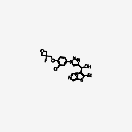 CCc1sc2cncn2c1C(O)c1cn(-c2ccc(OCC3(F)COC3)c(Cl)c2)nn1